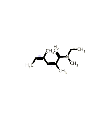 C=C(/C(C)=C\C(C)=C/C)N(C)CC